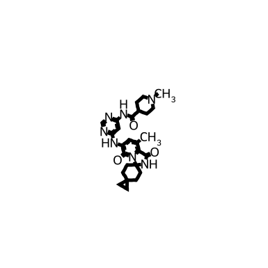 Cc1cc(Nc2cc(NC(=O)C3CCN(C)CC3)ncn2)c(=O)n2c1C(=O)NC21CCC2(CC2)CC1